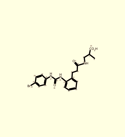 CC(CNC(=O)CCc1ccccc1NC(=O)Nc1ccc(Br)cc1)C(=O)O